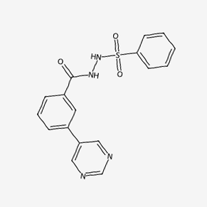 O=C(NNS(=O)(=O)c1ccccc1)c1cccc(-c2cncnc2)c1